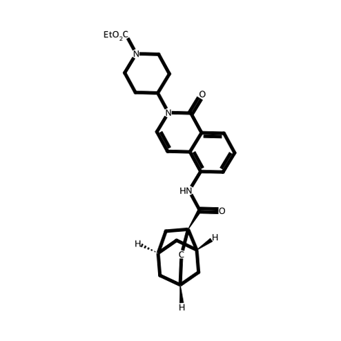 CCOC(=O)N1CCC(n2ccc3c(NC(=O)[C@@]45C[C@@H]6C[C@@H](C[C@@H]4C6)C5)cccc3c2=O)CC1